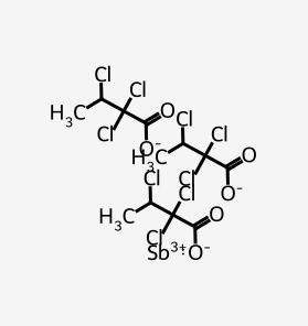 CC(Cl)C(Cl)(Cl)C(=O)[O-].CC(Cl)C(Cl)(Cl)C(=O)[O-].CC(Cl)C(Cl)(Cl)C(=O)[O-].[Sb+3]